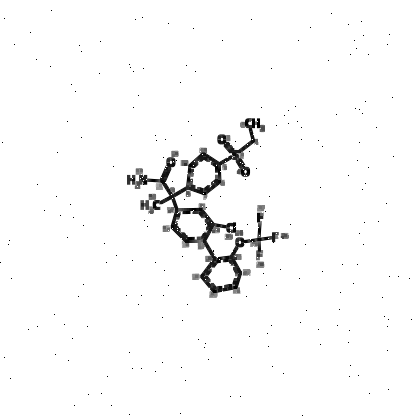 CCS(=O)(=O)c1ccc(C(C)(C(N)=O)c2ccc(-c3ccccc3OC(F)(F)F)c(Cl)c2)cc1